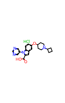 Cl.O=C(O)c1cc2cc(OC3CCN(C4CCC4)CC3)ccc2n1-c1cncnc1